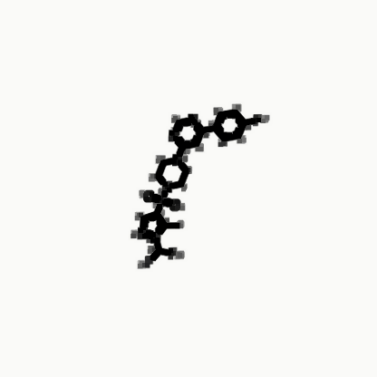 Cc1c(S(=O)(=O)N2CCN(c3cc(-c4ccc(F)cc4)ncn3)CC2)cnn1C(F)F